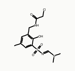 Cc1cc(CNC(=O)CCl)c(O)c(S(=O)(=O)N=CN(C)C)c1